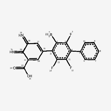 Bc1c(F)c(-c2ccccc2)c(F)c(F)c1C1=CC(=N)C(=N)C(C(=O)O)=C1